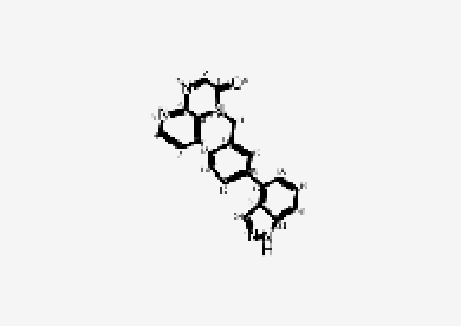 O=c1cnc2ncccc2n1Cc1cccc(-c2cccc3[nH]ncc23)c1